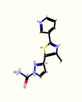 Cc1nc(-c2cccnc2)sc1-c1ccn(C(N)=O)n1